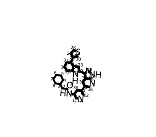 O=C(CC1CCCCC1)Nc1cncc(-c2cnc3[nH]nc(-c4cc5c(-c6ccsc6)cccc5[nH]4)c3c2)c1